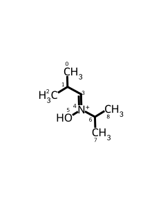 CC(C)C=[N+](O)C(C)C